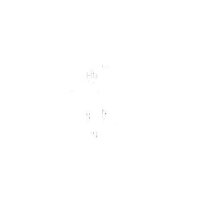 O=S(=O)(Nc1cccc(-c2nc3ncccc3[nH]2)c1)c1cccs1